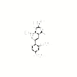 CCNc1nc(C)c2c(n1)N(CC)CC(c1ccc(OC)cc1OC)=C2